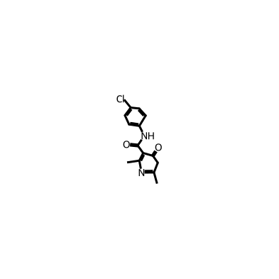 CC1=NC(C)=C(C(=O)Nc2ccc(Cl)cc2)C(=O)C1